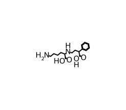 NCCCCC(NCCC(C(=O)O)c1ccccc1)C(=O)O